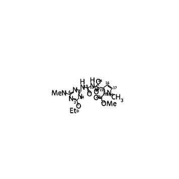 CCOc1nc(NC)nc(NC(=O)NS(=O)(=O)c2ccn(C)c2C(=O)OC)n1